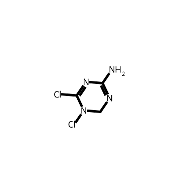 NC1=NCN(Cl)C(Cl)=N1